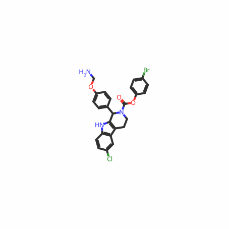 NCOc1ccc(C2c3[nH]c4ccc(Cl)cc4c3CCN2C(=O)Oc2ccc(Br)cc2)cc1